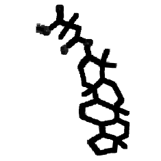 CC(C)(CC(=O)OC1CCC2(C)C(CCC3(C)C4CCC5(C)CCCC5C4CCC32)C1(C)C)C(=O)O